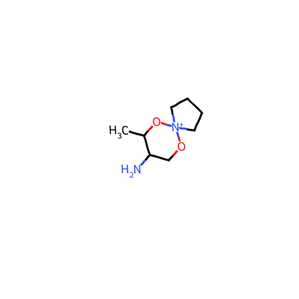 CC1O[N+]2(CCCC2)OCC1N